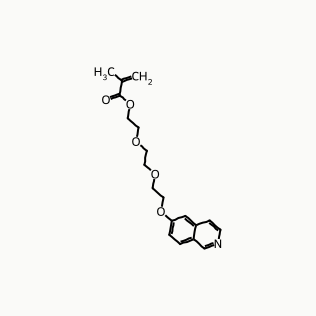 C=C(C)C(=O)OCCOCCOCCOc1ccc2cnccc2c1